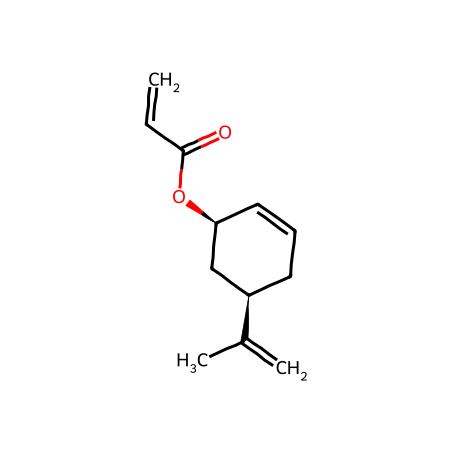 C=CC(=O)O[C@H]1C=CC[C@@H](C(=C)C)C1